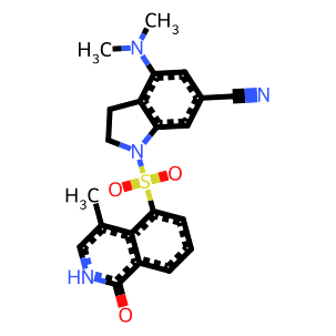 Cc1c[nH]c(=O)c2cccc(S(=O)(=O)N3CCc4c(N(C)C)cc(C#N)cc43)c12